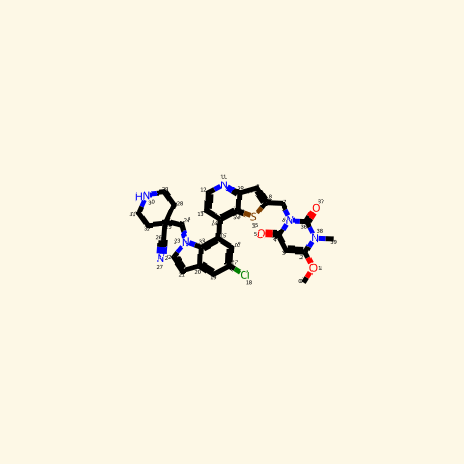 COc1cc(=O)n(Cc2cc3nccc(-c4cc(Cl)cc5ccn(CC6(C#N)CCNCC6)c45)c3s2)c(=O)n1C